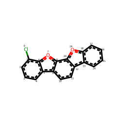 Clc1cccc2c1oc1c2ccc2c3ccccc3oc21